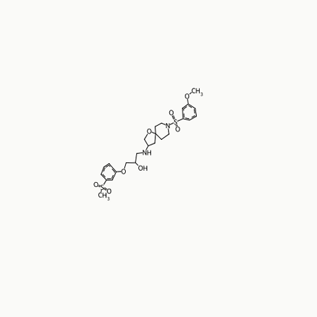 COc1cccc(S(=O)(=O)N2CCC3(CC2)CC(NCC(O)COc2cccc(S(C)(=O)=O)c2)CO3)c1